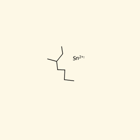 CCCCC(C)CC.[Sn+2]